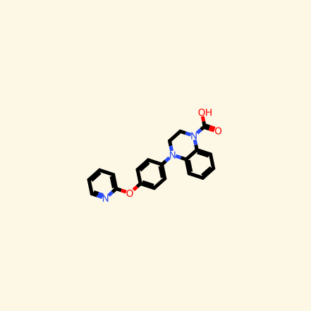 O=C(O)N1CCN(c2ccc(Oc3ccccn3)cc2)c2ccccc21